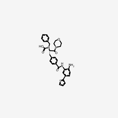 Nc1ccc(-c2cccs2)cc1NC(=O)c1ccc(C[C@@H](C(=O)N2CCOCC2)N(Cc2ccccc2)C(=O)O)cc1